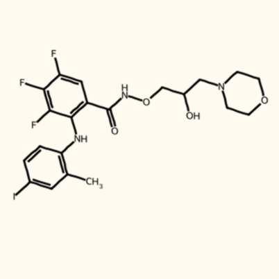 Cc1cc(I)ccc1Nc1c(C(=O)NOCC(O)CN2CCOCC2)cc(F)c(F)c1F